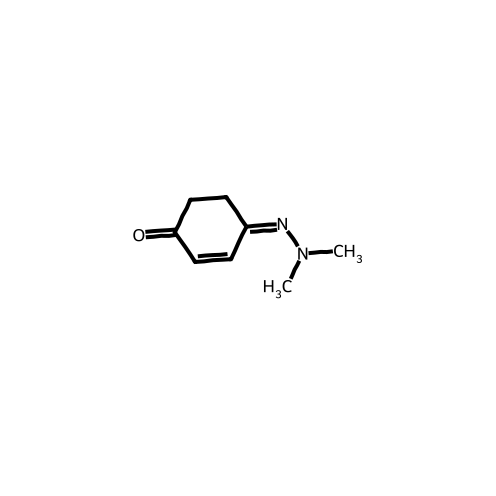 CN(C)N=C1C=CC(=O)CC1